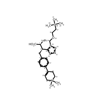 CCC[C@H](C(=O)O)[C@H](Cc1ccc(C2=CC[N+](C)(C)CC2)cc1)c1nnnn1COCC[Si](C)(C)C